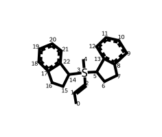 C/C=C/S(C)(C1CCc2ccccc21)C1CCc2ccccc21